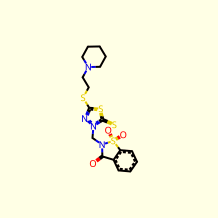 O=C1c2ccccc2S(=O)(=O)N1Cn1nc(SCCN2CCCCC2)sc1=S